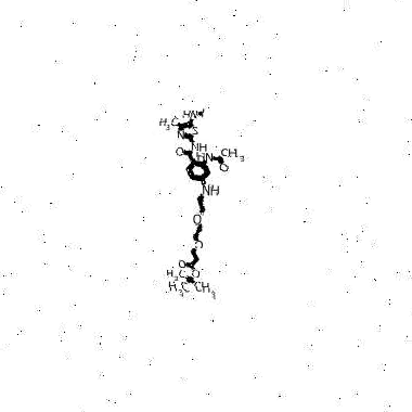 CC(=O)Nc1cc(NCCOCCOCCC(=O)OC(C)(C)C)ccc1C(=O)Nc1nc(C)c(NI)s1